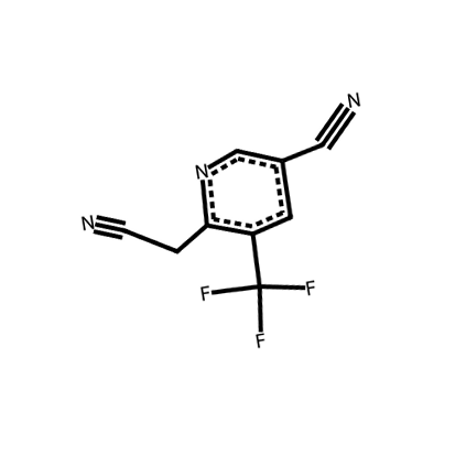 N#CCc1ncc(C#N)cc1C(F)(F)F